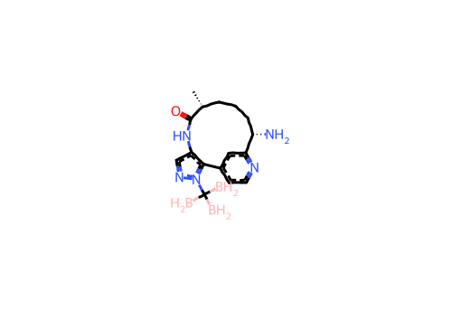 BC(B)(B)n1ncc2c1-c1ccnc(c1)[C@@H](N)CCC[C@@H](C)C(=O)N2